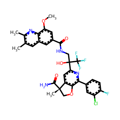 COc1cc(C(=O)NCC(O)(c2cc3c(c(-c4ccc(F)c(Cl)c4)n2)OC[C@]3(C)C(N)=O)C(F)(F)F)cc2cc(C)c(C)nc12